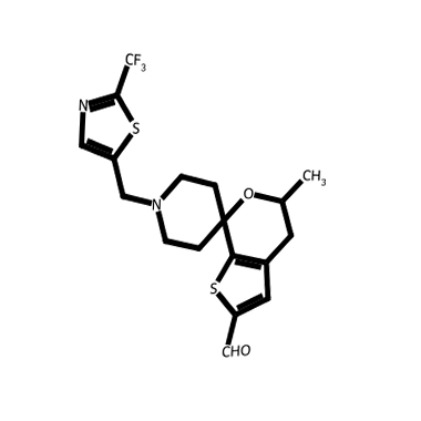 CC1Cc2cc(C=O)sc2C2(CCN(Cc3cnc(C(F)(F)F)s3)CC2)O1